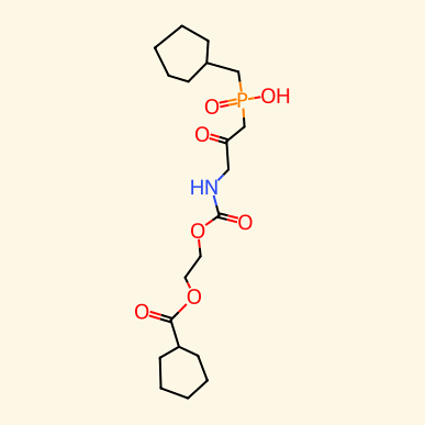 O=C(CNC(=O)OCCOC(=O)C1CCCCC1)CP(=O)(O)CC1CCCCC1